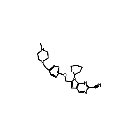 CN1CCN(Cc2ccc(OCc3cc4cnc(C#N)nc4n3C3CCCCC3)cc2)CC1